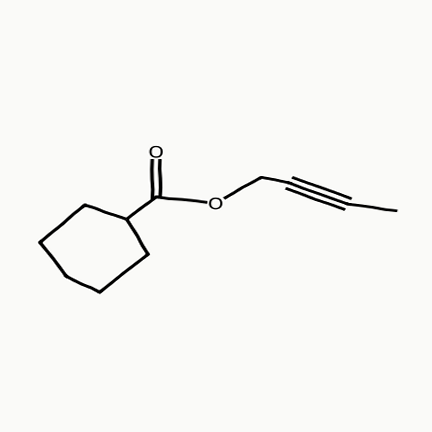 CC#CCOC(=O)C1CCCCC1